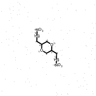 O=[N+]([O-])[Hg][CH2]C1COC([CH2][Hg][N+](=O)[O-])CO1